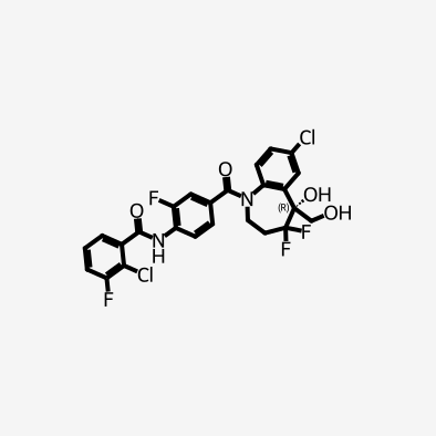 O=C(Nc1ccc(C(=O)N2CCC(F)(F)[C@](O)(CO)c3cc(Cl)ccc32)cc1F)c1cccc(F)c1Cl